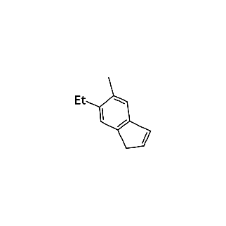 CCc1cc2c(cc1C)C=CC2